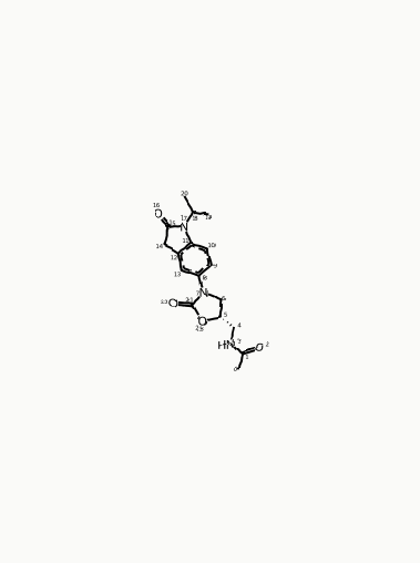 CC(=O)NC[C@H]1CN(c2ccc3c(c2)CC(=O)N3C(C)C)C(=O)O1